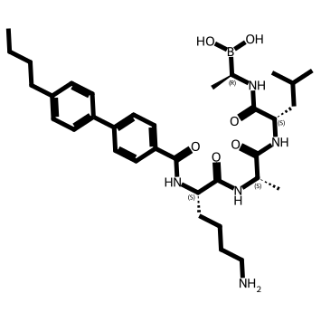 CCCCc1ccc(-c2ccc(C(=O)N[C@@H](CCCCN)C(=O)N[C@@H](C)C(=O)N[C@@H](CC(C)C)C(=O)N[C@@H](C)B(O)O)cc2)cc1